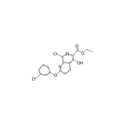 CCOC(=O)c1nc(Cl)c2nc(Oc3cccc(Cl)c3)ccc2c1O